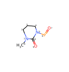 CN1CCCN(P=O)C1=O